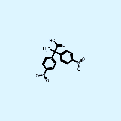 CC(C(=O)O)(c1ccc([N+](=O)[O-])cc1)c1ccc([N+](=O)[O-])cc1